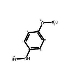 CC(C)Nc1ccc(OC(C)(C)C)cc1